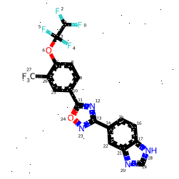 FC(F)C(F)(F)Oc1ccc(-c2nc(-c3ccc4[nH]cnc4c3)no2)cc1C(F)(F)F